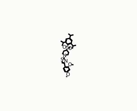 COc1ccc(-c2csc(N3CCC(S(=O)(=O)c4c(C(C)C)cc(C(C)C)cc4C(C)C)CC3)n2)c(OC)c1